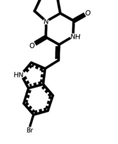 O=C1N/C(=C/c2c[nH]c3cc(Br)ccc23)C(=O)N2CCCC12